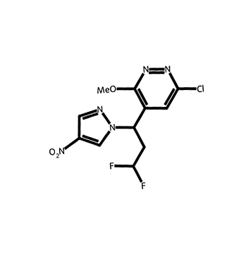 COc1nnc(Cl)cc1C(CC(F)F)n1cc([N+](=O)[O-])cn1